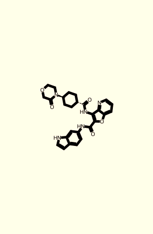 O=C(Nc1ccc2cc[nH]c2c1)c1oc2cccnc2c1NC(=O)[C@H]1CC[C@H](N2CCOCC2=O)CC1